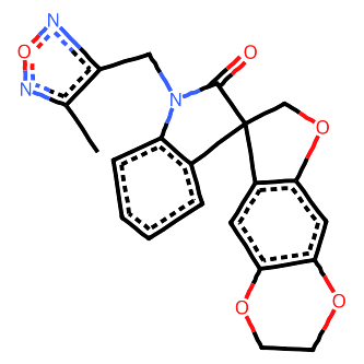 Cc1nonc1CN1C(=O)C2(COc3cc4c(cc32)OCCO4)c2ccccc21